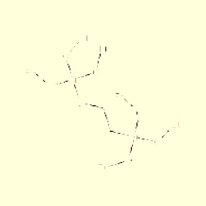 CCO[Si](CCO[Si](OCC)(OCC)OCC)(OCC)OCC